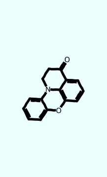 O=C1CCN2c3ccccc3Oc3cccc1c32